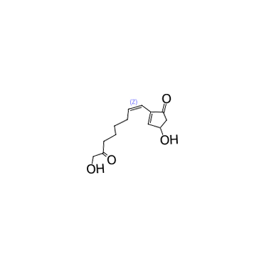 O=C(CO)CCCC/C=C\C1=CC(O)CC1=O